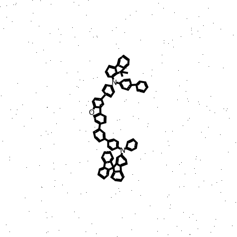 CC1(C)c2ccccc2-c2cccc(N(c3ccc(-c4ccccc4)cc3)c3ccc(-c4ccc5oc6cc(-c7cccc(-c8ccc(N(c9ccccc9)c9ccc%10c(c9)C9(c%11ccccc%11-c%11ccccc%119)c9ccccc9-%10)cc8)c7)ccc6c5c4)cc3)c21